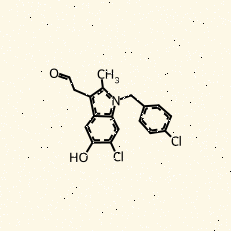 Cc1c(CC=O)c2cc(O)c(Cl)cc2n1Cc1ccc(Cl)cc1